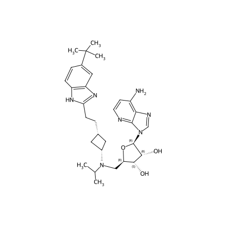 CC(C)N(C[C@H]1O[C@@H](n2cnc3c(N)ccnc32)[C@H](O)[C@@H]1O)[C@H]1C[C@@H](CCc2nc3cc(C(C)(C)C)ccc3[nH]2)C1